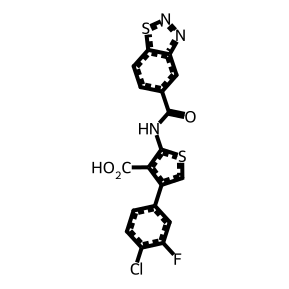 O=C(Nc1scc(-c2ccc(Cl)c(F)c2)c1C(=O)O)c1ccc2snnc2c1